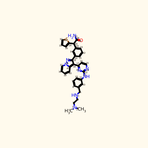 CN(C)CCNCc1cccc(Nc2nccc(-c3c(-c4cccc(C(C(N)=O)c5cccs5)c4)nn4ccccc34)n2)c1